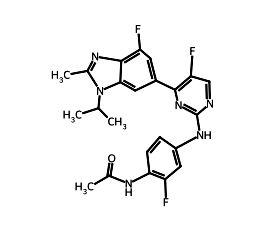 CC(=O)Nc1ccc(Nc2ncc(F)c(-c3cc(F)c4nc(C)n(C(C)C)c4c3)n2)cc1F